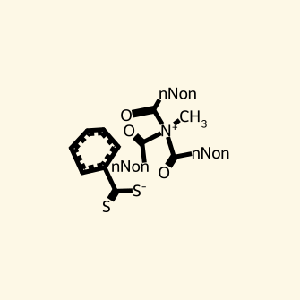 CCCCCCCCCC(=O)[N+](C)(C(=O)CCCCCCCCC)C(=O)CCCCCCCCC.S=C([S-])c1ccccc1